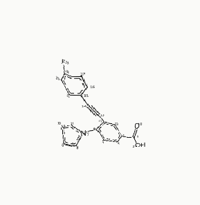 O=C(O)c1ccc(-n2ccnc2)c(C#Cc2ccc(F)cc2)c1